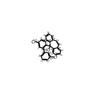 OC1(c2ccc(Cl)cc2-c2cccc(Cl)c2)c2ccccc2C=Cc2ccccc21